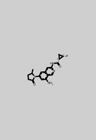 CC1CCC(=O)N1c1cc(N)c2cnc(NC(=O)[C@@H]3C[C@@H]3F)cc2c1